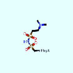 CCCCCCCCS(=O)(=O)NS(=O)(=O)CCN(C)C